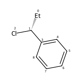 CC[C@@H](Cl)c1ccccc1